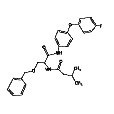 CC(C)CC(=O)NC(COCc1ccccc1)C(=O)Nc1ccc(Oc2ccc(F)cc2)cc1